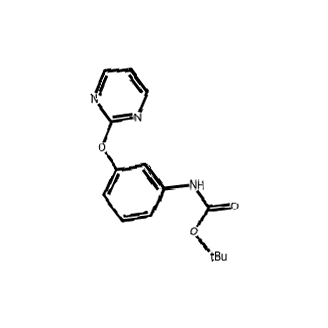 CC(C)(C)OC(=O)Nc1cccc(Oc2ncccn2)c1